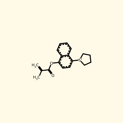 C=C(C)C(=O)Oc1ccc([S+]2CCCC2)c2ccccc12